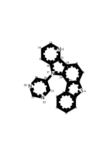 c1ccc2c(c1)sc1ccc3c4ncccc4n(-c4cncnc4)c3c12